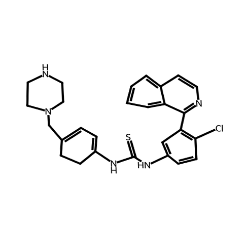 S=C(NC1=CC=C(CN2CCNCC2)CC1)Nc1ccc(Cl)c(-c2nccc3ccccc23)c1